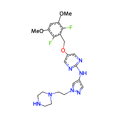 COc1cc(OC)c(F)c(COc2cnc(Nc3cnn(CCN4CCNCC4)c3)nc2)c1F